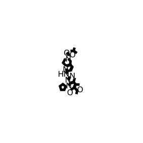 CC(=O)c1c(C)c2cnc(Nc3ccc4c(n3)CCN(C(=O)OC(C)(C)C)C4)nc2n(C2CCCC2)c1=O